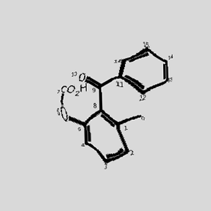 Cc1cccc(OC(=O)O)c1C(=O)c1ccccc1